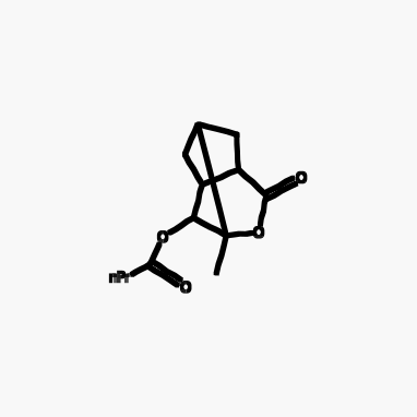 CCCC(=O)OC1C2CC3CC2C(=O)OC31C